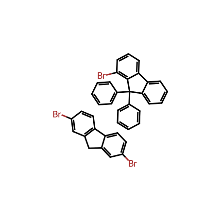 Brc1ccc2c(c1)Cc1cc(Br)ccc1-2.Brc1cccc2c1C(c1ccccc1)(c1ccccc1)c1ccccc1-2